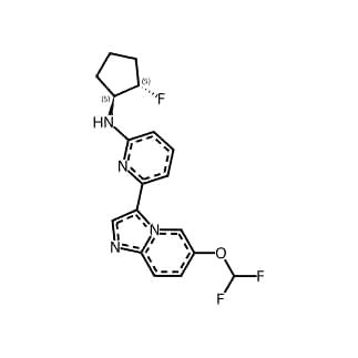 FC(F)Oc1ccc2ncc(-c3cccc(N[C@H]4CCC[C@@H]4F)n3)n2c1